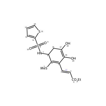 CCOC(=O)/C=C/C1=C(SC)C(NS(=O)(=O)c2cccs2)CC(O)=C1O